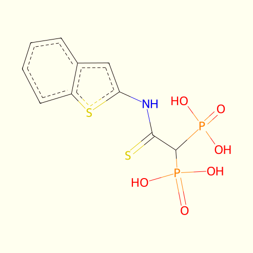 O=P(O)(O)C(C(=S)Nc1cc2ccccc2s1)P(=O)(O)O